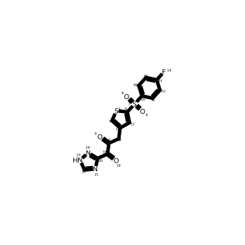 O=C(Cc1csc(S(=O)(=O)c2ccc(F)cc2)c1)C(=O)c1nc[nH]n1